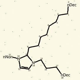 CCCCCCCCCCCCCCCCCCC1N(CCCCCCCCC)C=CN1CCCCCCCCCCCCC